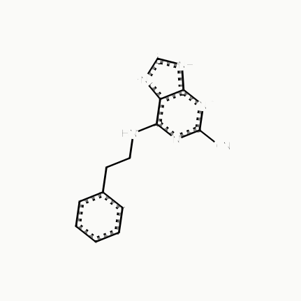 N#Cc1nc(NCCc2ccccc2)c2nc[nH]c2n1